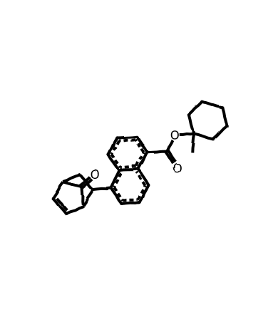 CC1(OC(=O)c2cccc3c(C4CC5C=CC4C5=O)cccc23)CCCCC1